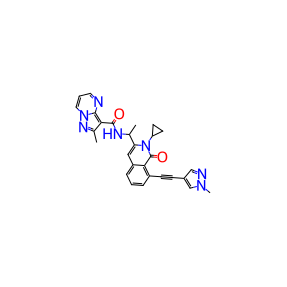 Cc1nn2cccnc2c1C(=O)NC(C)c1cc2cccc(C#Cc3cnn(C)c3)c2c(=O)n1C1CC1